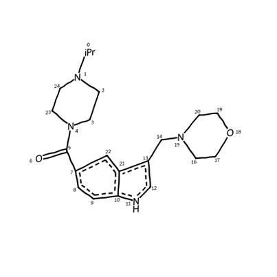 CC(C)N1CCN(C(=O)c2ccc3[nH]cc(CN4CCOCC4)c3c2)CC1